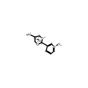 CCCC12COC(c3ccc[n+]([O-])c3)(OC1)OC2